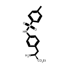 CCOC(=O)[C@@H](N)Cc1ccc(NS(=O)(=O)c2ccc(C)cc2)cc1